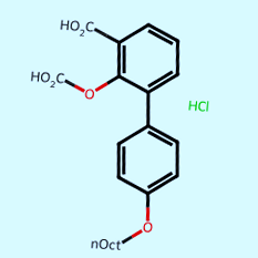 CCCCCCCCOc1ccc(-c2cccc(C(=O)O)c2OC(=O)O)cc1.Cl